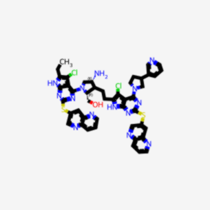 CCc1[nH]c2nc(Sc3cnc4cccnc4c3)nc(N3C[C@H](N)C(CCc4[nH]c5nc(Sc6cnc7cccnc7c6)nc(N6CCC(c7cccnc7)C6)c5c4Cl)[C@@H]3CO)c2c1Cl